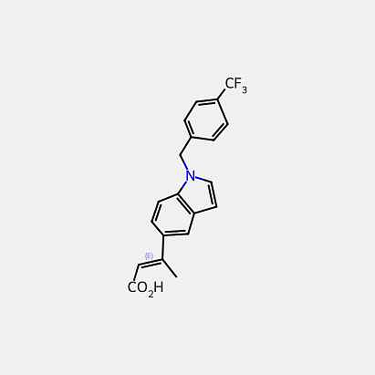 C/C(=C\C(=O)O)c1ccc2c(ccn2Cc2ccc(C(F)(F)F)cc2)c1